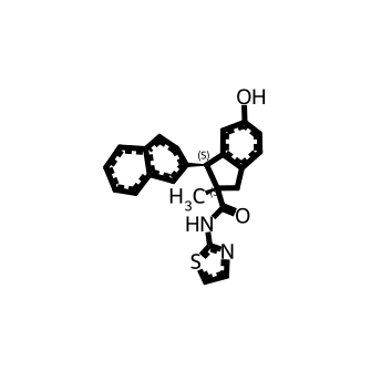 C[C@]1(C(=O)Nc2nccs2)Cc2ccc(O)cc2[C@@H]1c1ccc2ccccc2c1